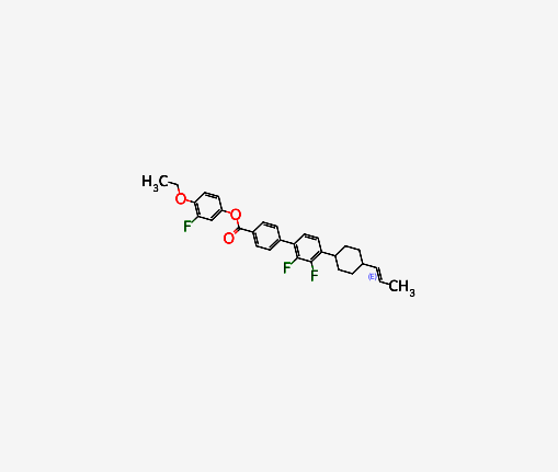 C/C=C/C1CCC(c2ccc(-c3ccc(C(=O)Oc4ccc(OCC)c(F)c4)cc3)c(F)c2F)CC1